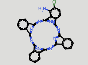 Nc1c(Cl)ccc2c3nc4nc(nc5[nH]c(nc6nc(nc([nH]3)c12)-c1ccccc1-6)c1ccccc51)-c1ccccc1-4